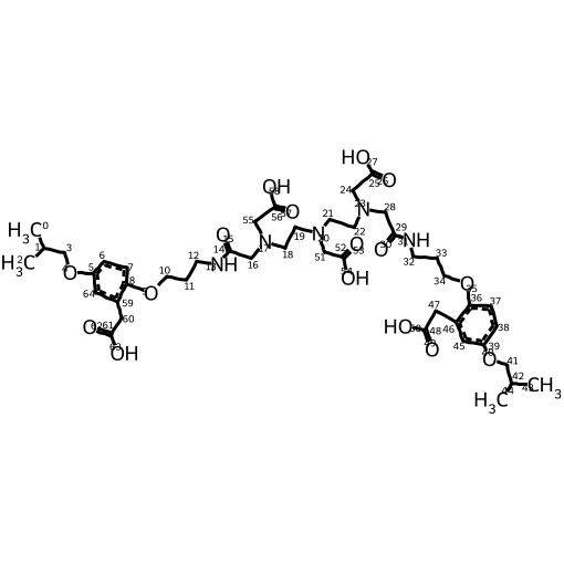 CC(C)COc1ccc(OCCCNC(=O)CN(CCN(CCN(CC(=O)O)CC(=O)NCCCOc2ccc(OCC(C)C)cc2CC(=O)O)CC(=O)O)CC(=O)O)c(CC(=O)O)c1